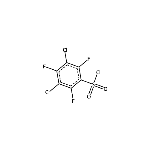 O=S(=O)(Cl)c1c(F)c(Cl)c(F)c(Cl)c1F